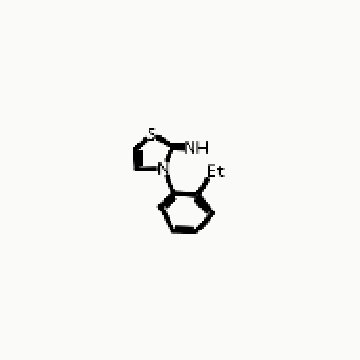 CCc1ccccc1-n1ccsc1=N